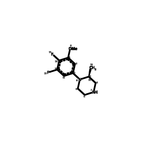 COc1cc(N2CCNC[C@@H]2C)cc(F)c1F